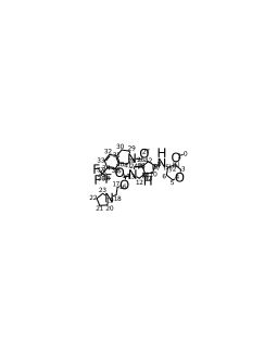 CO[C@@H]1COCC[C@@H]1N[C@@H]1C[C@H]2CN(C(=O)OCCN3CCCC3)C[C@@]2(C(=O)N2CCc3ccc(C(F)(F)F)cc3C2)C1